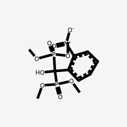 COP(=O)(OC)C(O)(c1ccccc1[N+](=O)[O-])P(=O)(OC)OC